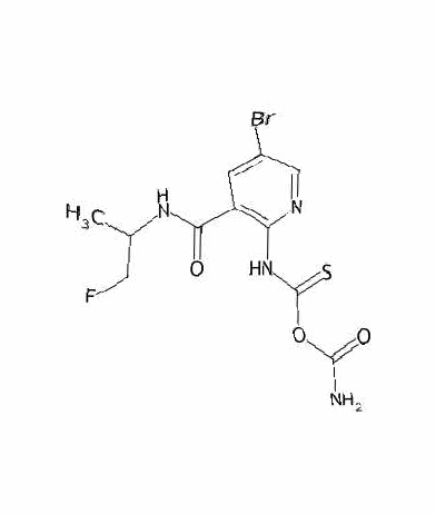 CC(CF)NC(=O)c1cc(Br)cnc1NC(=S)OC(N)=O